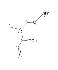 C=CC(=O)N(C)COCCC